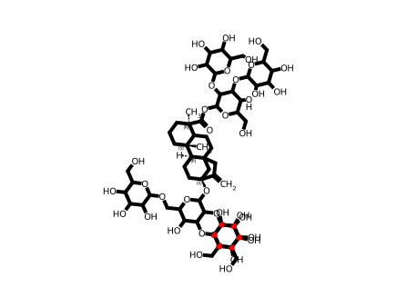 C=C1CC23CCC4[C@](C)(C(=O)OC5OC(CO)C(O)C(OC6OC(CO)C(O)C(O)C6O)C5OC5OC(CO)C(O)C(O)C5O)CCC[C@@]4(C)[C@@H]2CC[C@]1(OC1OC(COC2OC(CO)C(O)C(O)C2O)C(O)C(OC2OC(CO)C(O)C(O)C2O)C1OC1OC(CO)C(O)C(O)C1O)C3